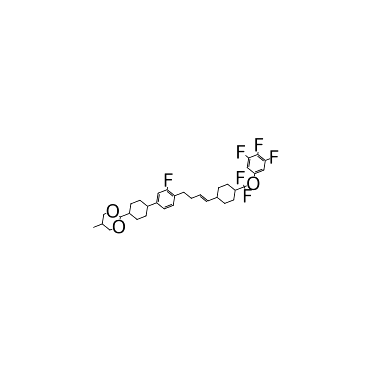 CC1COC(C2CCC(c3ccc(CC/C=C/C4CCC(C(F)(F)Oc5cc(F)c(F)c(F)c5)CC4)c(F)c3)CC2)OC1